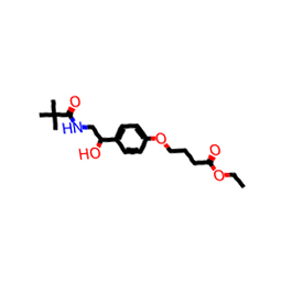 CCOC(=O)CCCOc1ccc(C(O)CNC(=O)C(C)(C)C)cc1